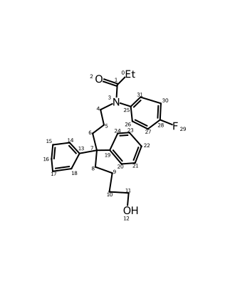 CCC(=O)N(CCCC(CCCCO)(c1ccccc1)c1ccccc1)c1ccc(F)cc1